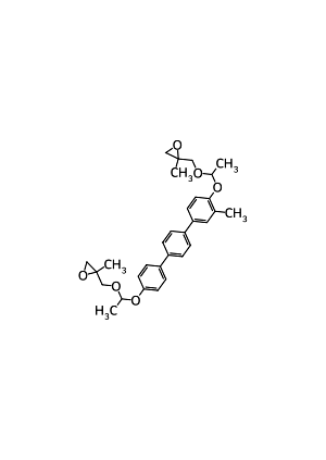 Cc1cc(-c2ccc(-c3ccc(OC(C)OCC4(C)CO4)cc3)cc2)ccc1OC(C)OCC1(C)CO1